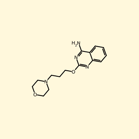 Nc1nc(OCCCN2CCOCC2)nc2ccccc12